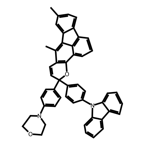 Cc1ccc2c(c1)-c1c(C)c3c(c4cccc-2c14)OC(c1ccc(N2CCOCC2)cc1)(c1ccc(-n2c4ccccc4c4ccccc42)cc1)C=C3